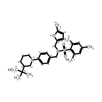 Cc1cc(C)c(S(=O)(=O)N(Cc2ccc(N3CCCC(C(C)(C)C(=O)O)C3)cc2)Cc2ccc(C(F)(F)F)o2)c(C)c1